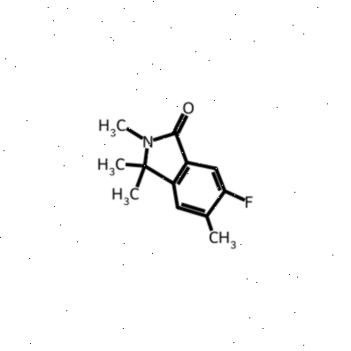 Cc1cc2c(cc1F)C(=O)N(C)C2(C)C